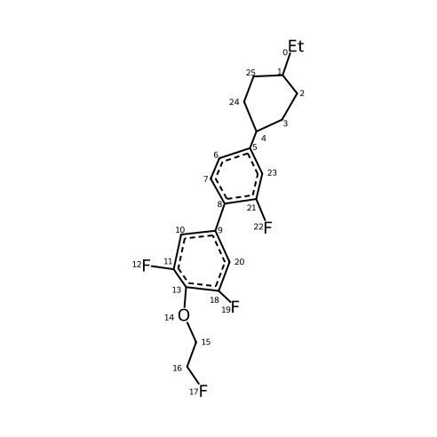 CCC1CCC(c2ccc(-c3cc(F)c(OCCF)c(F)c3)c(F)c2)CC1